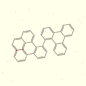 c1ccc(-c2cccc(-c3cccc4c5ccccc5c5ccccc5c34)c2-c2cccc3ccccc23)cc1